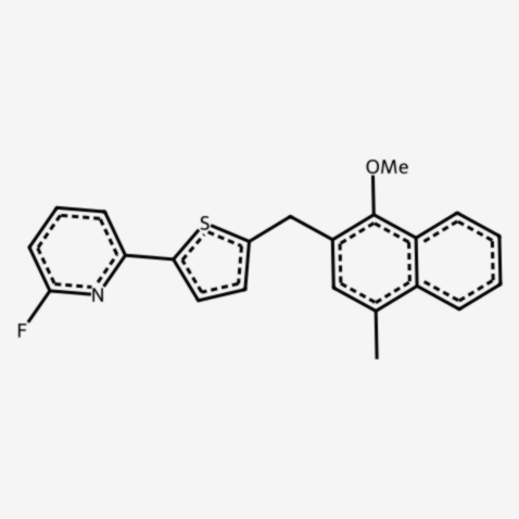 COc1c(Cc2ccc(-c3cccc(F)n3)s2)cc(C)c2ccccc12